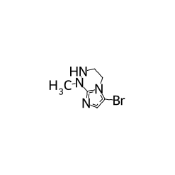 CN1NCCn2c(Br)cnc21